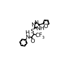 O=C(Nc1ccccc1)C(Sc1nnc(-c2ccco2)[nH]1)C(F)(F)F